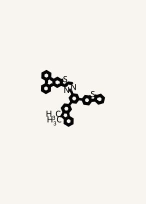 CC1(C)c2ccccc2-c2cc(-c3cc(-c4ccc5c(c4)sc4ccccc45)cc(-c4ncc5sc6cc7c8ccccc8c8ccccc8c7cc6c5n4)c3)ccc21